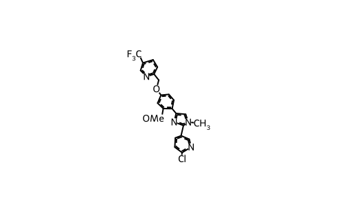 COc1cc(OCc2ccc(C(F)(F)F)cn2)ccc1-c1cn(C)c(-c2ccc(Cl)nc2)n1